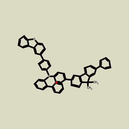 CC1(C)c2ccc(-c3ccc(N(c4ccc(-c5ccc6oc7ccccc7c6c5)cc4)c4ccccc4-c4ccccc4)cc3)cc2-c2ccc(-c3ccccc3)cc21